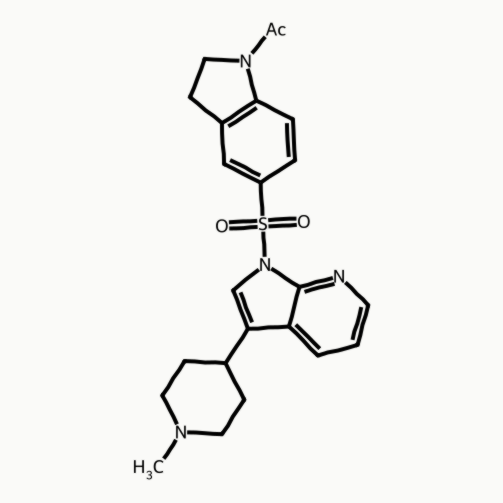 CC(=O)N1CCc2cc(S(=O)(=O)n3cc(C4CCN(C)CC4)c4cccnc43)ccc21